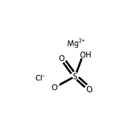 O=S(=O)([O-])O.[Cl-].[Mg+2]